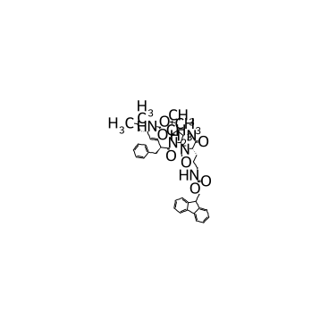 CC(C)C[C@@H](/C=C/[C@H](Cc1ccccc1)C(=O)N1CCC[C@H]1N(C=O)[C@@H](CCCNC(=O)OCC1c2ccccc2-c2ccccc21)C(N)=O)NC(=O)OC(C)(C)C